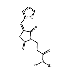 CCCN(C(=O)CCN1C(=O)/C(=C\c2cccs2)SC1=S)C(C)(C)C